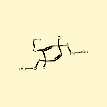 CCCCCCOC1=CC(C)(OOC(C)(C)C)C=CC1(C)OOC(C)(C)C